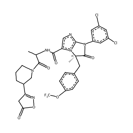 CC(NC(=O)c1cnc2n1[C@](C)(Cc1ccc(OC(F)(F)F)cc1)C(=O)N2c1cc(Cl)cc(Cl)c1)C(=O)N1CCCC(C2=NOC(=O)C2)C1